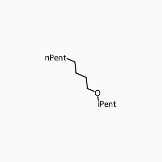 CCCCCCCCCOC(C)CCC